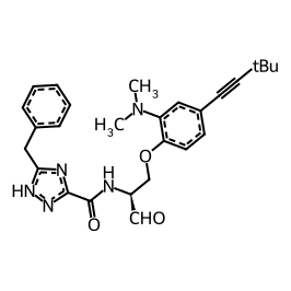 CN(C)c1cc(C#CC(C)(C)C)ccc1OC[C@@H](C=O)NC(=O)c1n[nH]c(Cc2ccccc2)n1